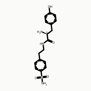 N[C@@H](Cc1ccc(O)cc1)C(=O)NCCc1ccc(S(N)(=O)=O)cc1